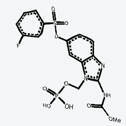 COC(=O)Nc1nc2ccc(OS(=O)(=O)c3cccc(F)c3)cc2n1COP(=O)(O)O